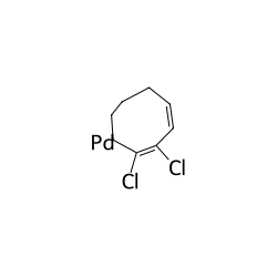 ClC1=C(Cl)CCCCC=C1.[Pd]